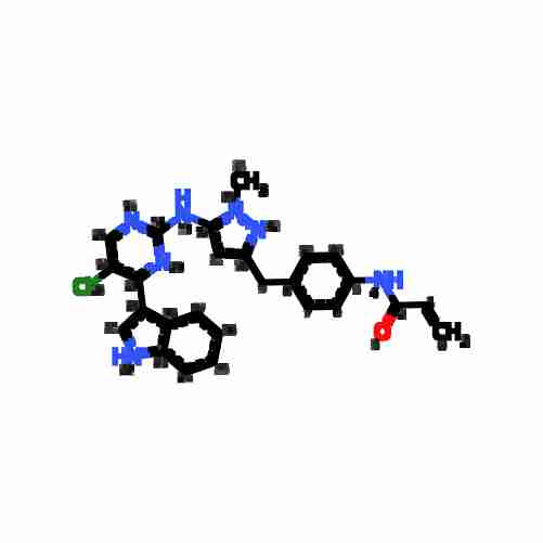 C=CC(=O)Nc1ccc(Cc2cc(Nc3ncc(Cl)c(-c4c[nH]c5ccccc45)n3)n(C)n2)cc1